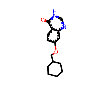 O=c1[nH]cnc2cc(OCC3CCCCC3)ccc12